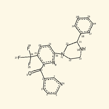 O=C(c1cccnc1)c1nc(N2CCNC(c3ccccc3)C2)ccc1C(F)(F)F